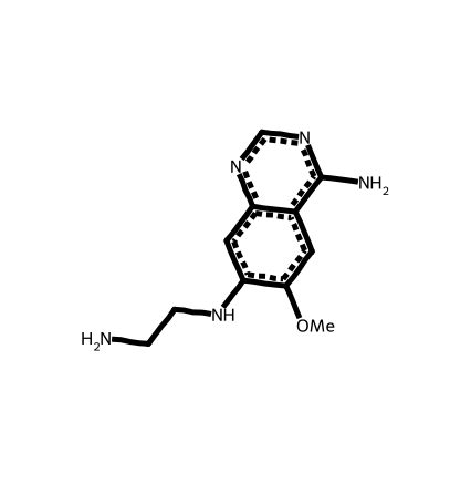 COc1cc2c(N)ncnc2cc1NCCN